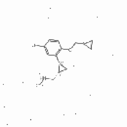 Fc1ccc(OCC2CC2)c([C@H]2C[C@@H]2CNCl)c1